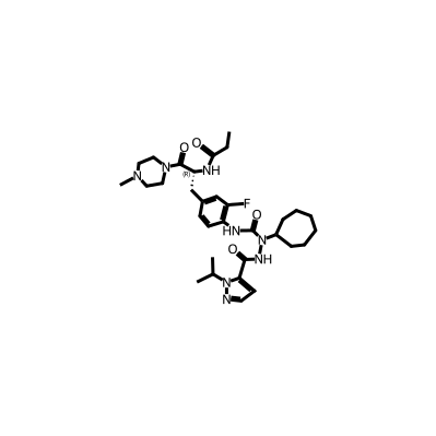 CCC(=O)N[C@H](Cc1ccc(NC(=O)N(NC(=O)c2ccnn2C(C)C)C2CCCCCC2)c(F)c1)C(=O)N1CCN(C)CC1